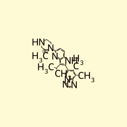 Cc1c(-c2[nH]c3ccc(N4CCNC[C@H]4C)nc3c2C(C)C)cn2ncnc2c1C